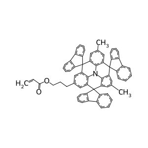 C=CC(=O)OCCCc1cc2c3c(c1)C1(c4ccccc4-c4ccccc41)c1cc(C)cc4c1N3c1c(cc(C)cc1C21c2ccccc2-c2ccccc21)C41c2ccccc2-c2ccccc21